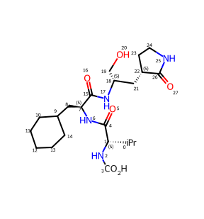 CC(C)[C@H](NC(=O)O)C(=O)N[C@@H](CC1CCCCC1)C(=O)N[C@H](CO)C[C@@H]1CCNC1=O